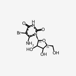 Nc1c(Br)c(=O)[nH]c(=O)n1[C@H]1O[C@@H](CO)C(O)C1O